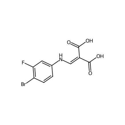 O=C(O)C(=CNc1ccc(Br)c(F)c1)C(=O)O